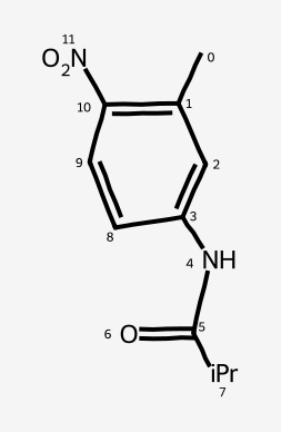 Cc1cc(NC(=O)C(C)C)ccc1[N+](=O)[O-]